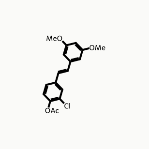 COc1cc(C=Cc2ccc(OC(C)=O)c(Cl)c2)cc(OC)c1